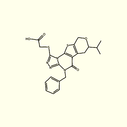 CC(C)C1Cc2c(sc3c2c(=O)n(Cc2ccccc2)c2nnc(SCC(=O)O)n32)CO1